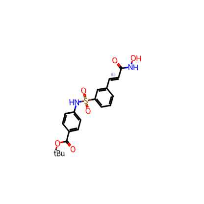 CC(C)(C)OC(=O)c1ccc(NS(=O)(=O)c2cccc(/C=C/C(=O)NO)c2)cc1